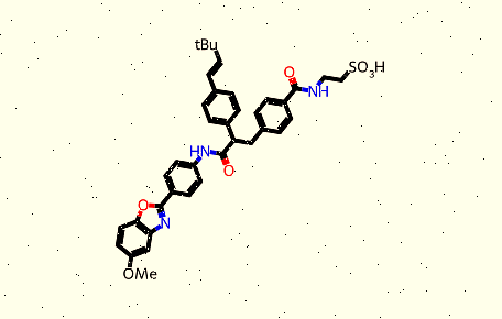 COc1ccc2oc(-c3ccc(NC(=O)C(Cc4ccc(C(=O)NCCS(=O)(=O)O)cc4)c4ccc(/C=C/C(C)(C)C)cc4)cc3)nc2c1